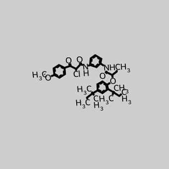 CCC(Oc1ccc(C(C)(C)CC)cc1C(C)(C)CC)C(=O)Nc1cccc(NC(=O)C(Cl)C(=O)c2ccc(OC)cc2)c1